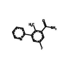 Cc1c(C(N)=O)cc(F)cc1-c1ccccn1